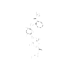 CCNC(=O)c1ccccc1Nc1ncc(F)c(N2C[C@H]3CN(C(=O)C4CC4(F)F)C[C@H]3C2)n1